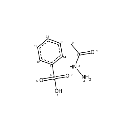 CC(=O)NN.O=S(=O)(O)c1ccccc1